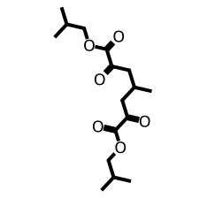 CC(C)COC(=O)C(=O)CC(C)CC(=O)C(=O)OCC(C)C